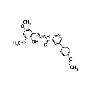 CCOc1ccc(-c2cncc(C(=O)N/N=C/c3cc(OC)cc(OC)c3O)n2)cc1